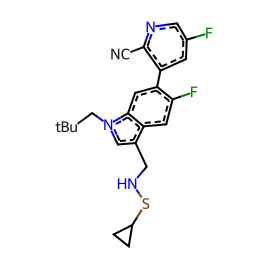 CC(C)(C)Cn1cc(CNSC2CC2)c2cc(F)c(-c3cc(F)cnc3C#N)cc21